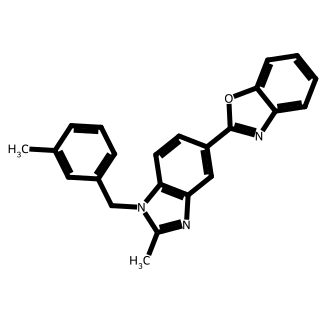 Cc1cccc(Cn2c(C)nc3cc(-c4nc5ccccc5o4)ccc32)c1